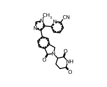 Cn1cnc(-c2ccc3c(c2)CN(C2CCC(=O)NC2=O)C3=O)c1-c1cccc(C#N)n1